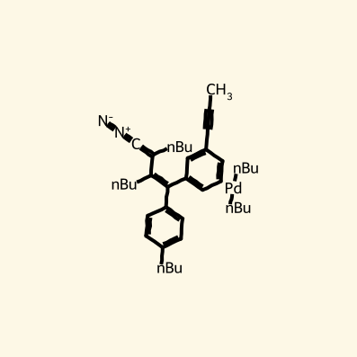 CC#Cc1cccc(C(=C(CCCC)C(=C=[N+]=[N-])CCCC)c2ccc(CCCC)cc2)c1.CCC[CH2][Pd][CH2]CCC